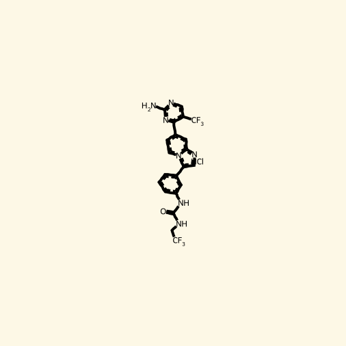 Cl.Nc1ncc(C(F)(F)F)c(-c2ccn3c(-c4cccc(NC(=O)NCC(F)(F)F)c4)cnc3c2)n1